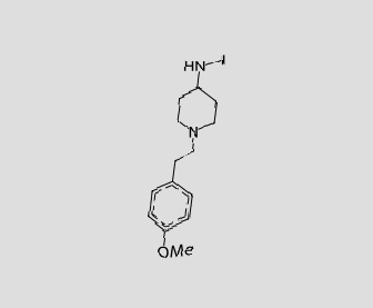 COc1ccc(CCN2CCC(NI)CC2)cc1